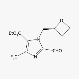 CCOC(=O)c1c(C(F)(F)F)nc(C=O)n1C[C@@H]1CCO1